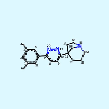 Cc1cc(C)cc(-c2ccc(C34CCCN(CC3)C4)nn2)c1